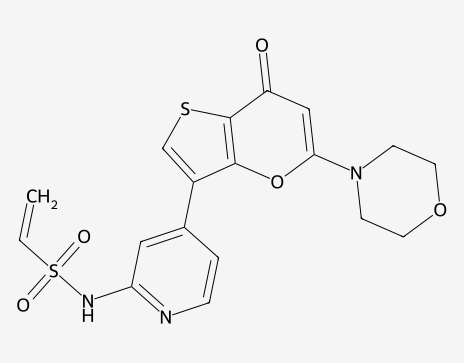 C=CS(=O)(=O)Nc1cc(-c2csc3c(=O)cc(N4CCOCC4)oc23)ccn1